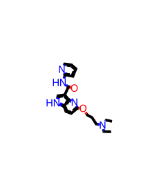 CCN(CC)CCCOc1ccc2[nH]cc(C(=O)Nc3ccccn3)c2n1